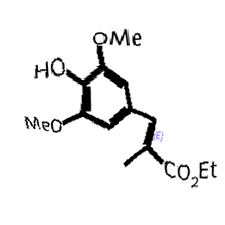 CCOC(=O)/C(C)=C/c1cc(OC)c(O)c(OC)c1